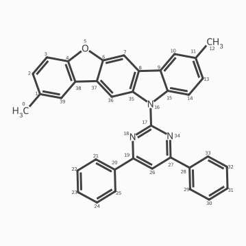 Cc1ccc2oc3cc4c5cc(C)ccc5n(-c5nc(-c6ccccc6)cc(-c6ccccc6)n5)c4cc3c2c1